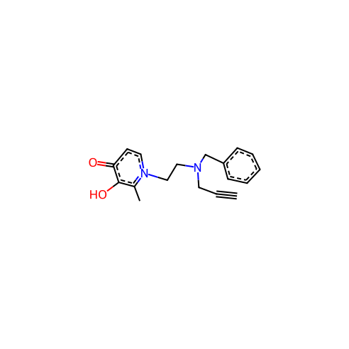 C#CCN(CCn1ccc(=O)c(O)c1C)Cc1ccccc1